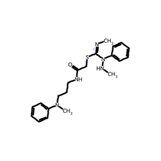 C/N=C(/SCC(=O)NCCCN(C)c1ccccc1)N(NC)c1ccccc1